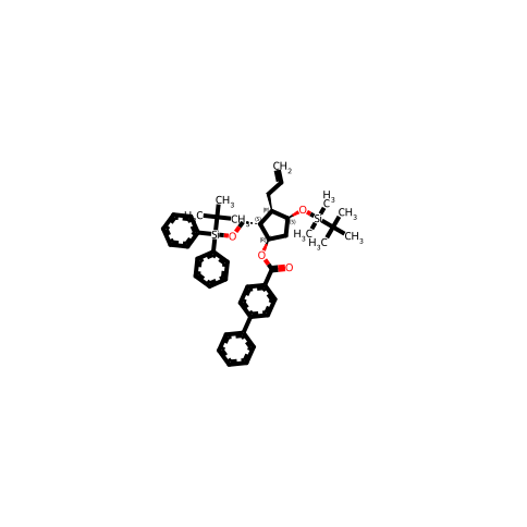 C=CC[C@@H]1[C@@H](CO[Si](c2ccccc2)(c2ccccc2)C(C)(C)C)[C@H](OC(=O)c2ccc(-c3ccccc3)cc2)C[C@@H]1O[Si](C)(C)C(C)(C)C